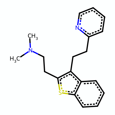 CN(C)CCc1sc2ccccc2c1CCc1ccccn1